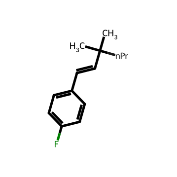 CCCC(C)(C)/C=C/c1ccc(F)cc1